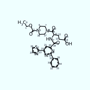 CCOC(=O)N1CCN(C(=O)C(CCC(=O)O)NC(=O)c2cc(-c3nccs3)nc(-c3ccccc3)n2)CC1